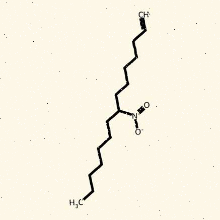 [CH]=CCCCCCC(CCCCCCC)[N+](=O)[O-]